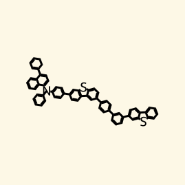 C1=CCCC(c2ccc(N(c3ccccc3)c3ccc(-c4ccc5c(c4)sc4ccc(-c6ccc(-c7cccc(-c8ccc9c(c8)sc8ccccc89)c7)cc6)cc45)cc3)c3ccccc23)=C1